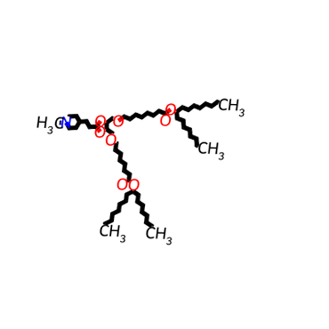 CCCCCCCCC(CCCCCCCC)OC(=O)CCCCCCCOCC1OC(CCC2CCN(C)CC2)OC1COCCCCCCCC(=O)OC(CCCCCCCC)CCCCCCCC